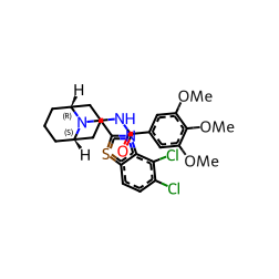 COc1cc(C(=O)NC2C[C@H]3CCC[C@@H](C2)N3Cc2nc3c(Cl)c(Cl)ccc3s2)cc(OC)c1OC